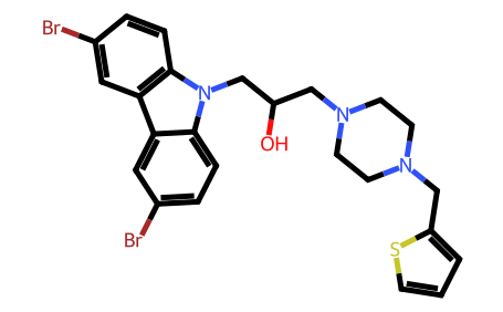 OC(CN1CCN(Cc2cccs2)CC1)Cn1c2ccc(Br)cc2c2cc(Br)ccc21